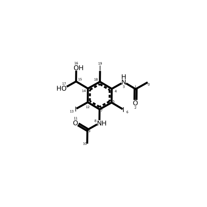 CC(=O)Nc1c(I)c(NC(C)=O)c(I)c(C(O)O)c1I